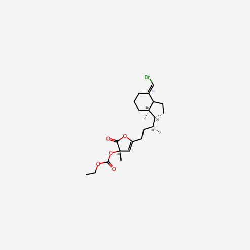 CCOC(=O)O[C@@]1(C)C=C(CC[C@@H](C)[C@H]2CCC3/C(=C/Br)CCC[C@@]32C)OC1=O